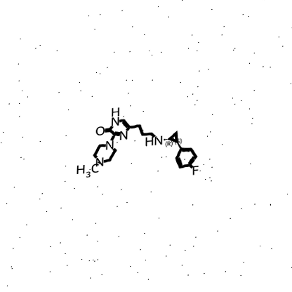 CN1CCN(c2nc(CCCN[C@@H]3C[C@H]3c3ccc(F)cc3)c[nH]c2=O)CC1